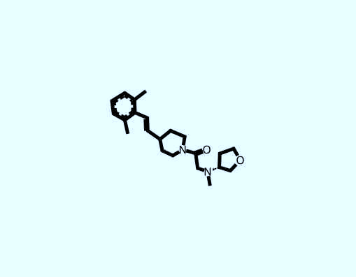 Cc1cccc(C)c1/C=C/C1CCN(C(=O)CN(C)[C@@H]2CCOC2)CC1